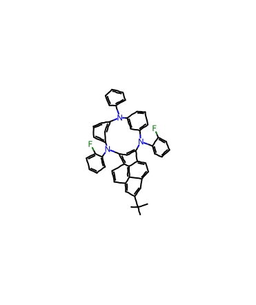 CC(C)(C)c1cc2ccc3c4cc(c5ccc(c1)c2c35)N(c1ccccc1F)c1cccc(c1)N(c1ccccc1)c1cccc(c1)N4c1ccccc1F